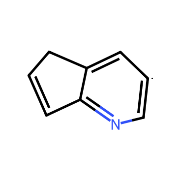 [c]1cnc2c(c1)CC=C2